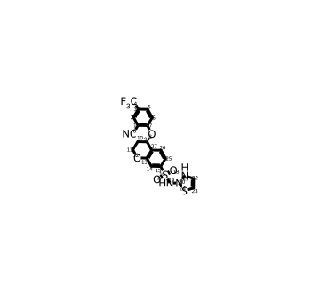 N#Cc1cc(C(F)(F)F)ccc1O[C@@H]1CCOc2cc(S(=O)(=O)NN3NC=CS3)ccc21